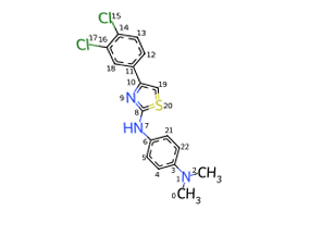 CN(C)c1ccc(Nc2nc(-c3ccc(Cl)c(Cl)c3)cs2)cc1